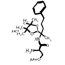 COCC(N)C(=O)NC(C)(CCCc1ccccc1)B1OC(C)(C)C(C)(C)O1.Cl